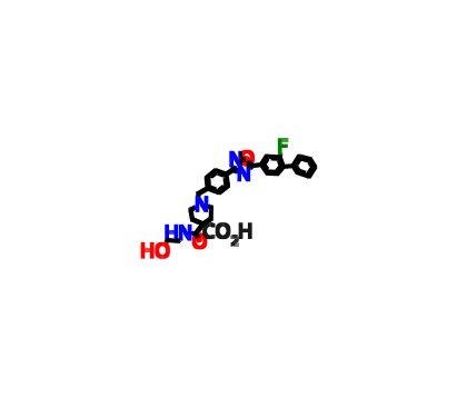 O=C(O)C1(C(=O)NCCO)CCN(Cc2ccc(-c3noc(-c4ccc(-c5ccccc5)c(F)c4)n3)cc2)CC1